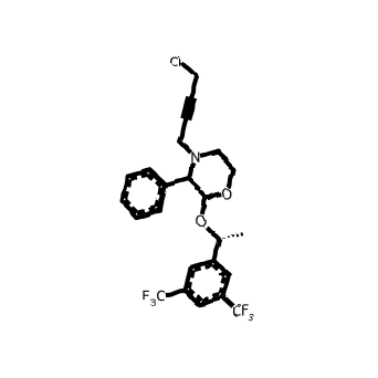 C[C@@H](OC1OCCN(CC#CCCl)C1c1ccccc1)c1cc(C(F)(F)F)cc(C(F)(F)F)c1